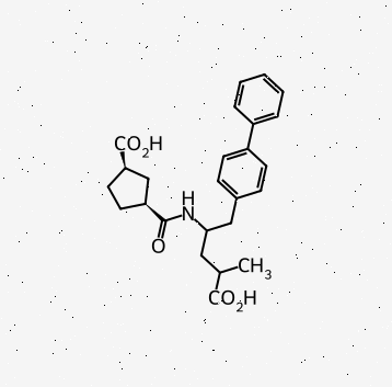 CC(CC(Cc1ccc(-c2ccccc2)cc1)NC(=O)[C@H]1CC[C@@H](C(=O)O)C1)C(=O)O